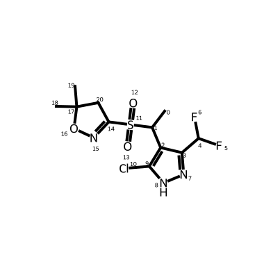 CC(c1c(C(F)F)n[nH]c1Cl)S(=O)(=O)C1=NOC(C)(C)C1